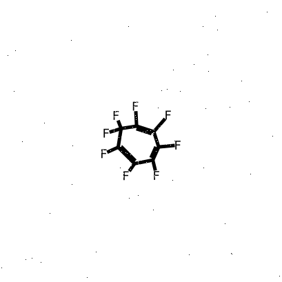 FC1=C(F)C(F)=C(F)C(F)(F)C(F)=C1F